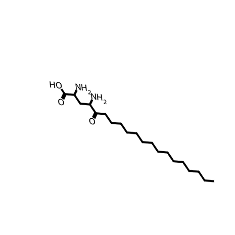 CCCCCCCCCCCCCCCC(=O)C(N)CC(N)C(=O)O